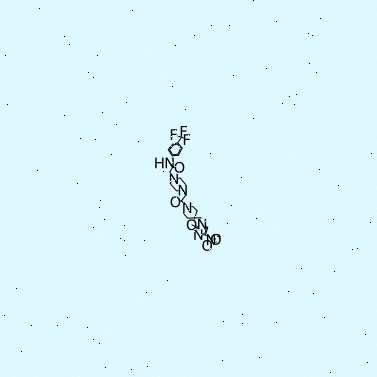 O=C(CN1CCN(CC(=O)N2CCC3(CC2)Cn2cc([N+](=O)[O-])nc2O3)CC1)Nc1ccc(C(F)(F)F)cc1